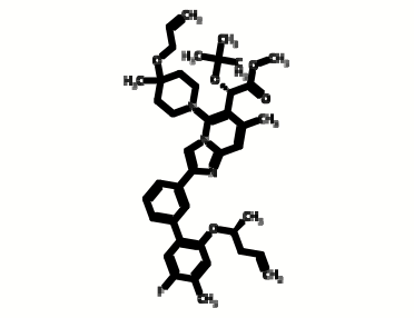 C=CCOC1(C)CCN(c2c([C@H](OC(C)(C)C)C(=O)OC)c(C)cc3nc(-c4cccc(-c5cc(F)c(C)cc5O[C@@H](C)CC=C)c4)cn23)CC1